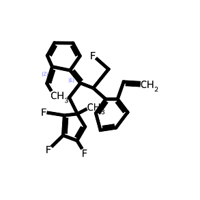 C=Cc1ccccc1C(CF)/C(CC1(C)C=C(F)C(F)=C1F)=c1\cccc\c1=C\C